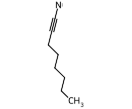 CCCCCCC#C[N]